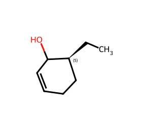 CC[C@H]1CCC=CC1O